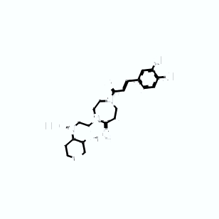 COC1COCCC1N(C)CCN1CCN(C(=O)C=Cc2ccc(Cl)c(Cl)c2)CCC1=O